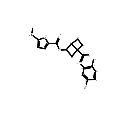 CSc1ccc(C(=O)NC2CC3(/C(C)=N/c4cc(Cl)ccc4C)CCC23)o1